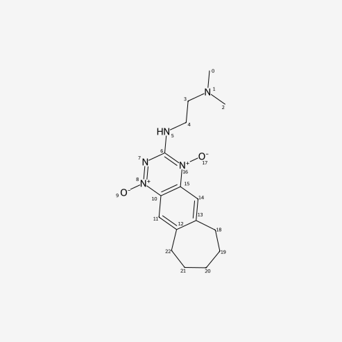 CN(C)CCNc1n[n+]([O-])c2cc3c(cc2[n+]1[O-])CCCCC3